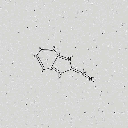 [N-]=[N+]=C1N=c2ccccc2=N1